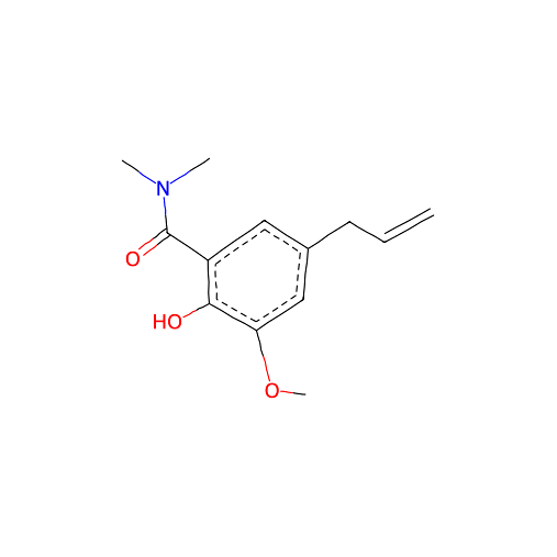 C=CCc1cc(OC)c(O)c(C(=O)N(C)C)c1